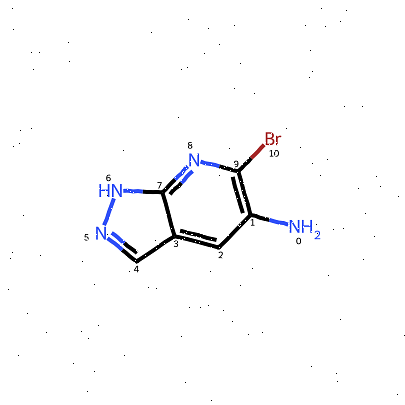 Nc1cc2cn[nH]c2nc1Br